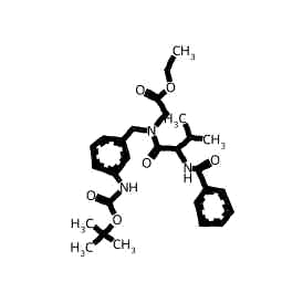 CCOC(=O)CN(Cc1cccc(NC(=O)OC(C)(C)C)c1)C(=O)C(NC(=O)c1ccccc1)C(C)C